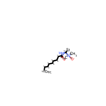 CCCCCCCCCCCCCCCCCC(=O)NC(CC)[N+](C)(C)[O-]